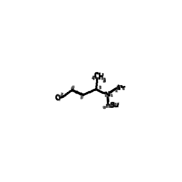 CCCCN(C(C)C)C(C)CCCl